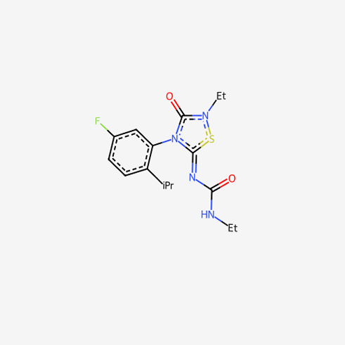 CCNC(=O)N=c1sn(CC)c(=O)n1-c1cc(F)ccc1C(C)C